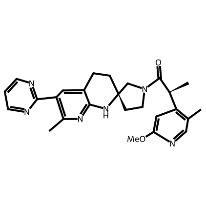 COc1cc([C@H](C)C(=O)N2CC[C@@]3(CCc4cc(-c5ncccn5)c(C)nc4N3)C2)c(C)cn1